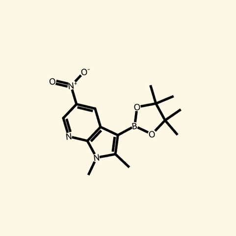 Cc1c(B2OC(C)(C)C(C)(C)O2)c2cc([N+](=O)[O-])cnc2n1C